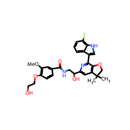 COc1cc(C(=O)NCC(O)c2cc3c(c(-c4c[nH]c5c(F)cccc45)n2)OCC3(C)C)ccc1OCCO